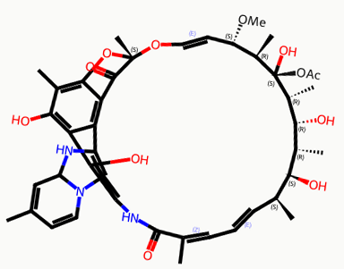 CO[C@H]1/C=C/O[C@@]2(C)Oc3c(C)c(O)c4c(O)c(c5c(c4c3C2=O)NC2C=C(C)C=CN52)NC(=O)/C(C)=C\C=C\[C@H](C)[C@H](O)[C@@H](C)[C@@H](O)[C@@H](C)[C@](O)(OC(C)=O)[C@@H]1C